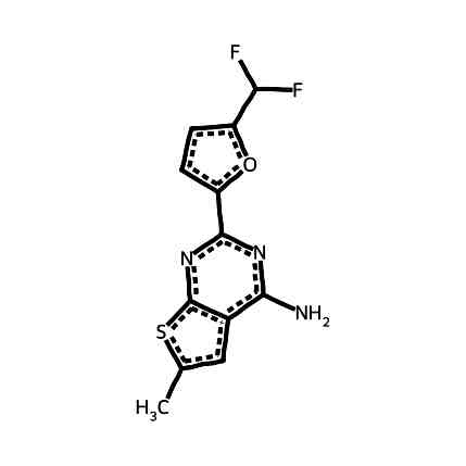 Cc1cc2c(N)nc(-c3ccc(C(F)F)o3)nc2s1